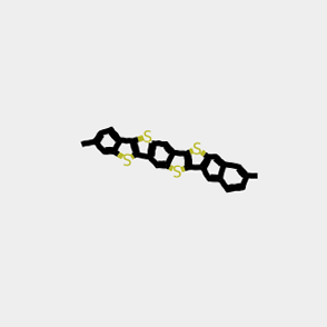 Cc1ccc2cc3c(cc2c1)sc1c2cc4sc5c6ccc(C)cc6sc5c4cc2sc31